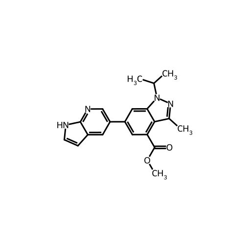 COC(=O)c1cc(-c2cnc3[nH]ccc3c2)cc2c1c(C)nn2C(C)C